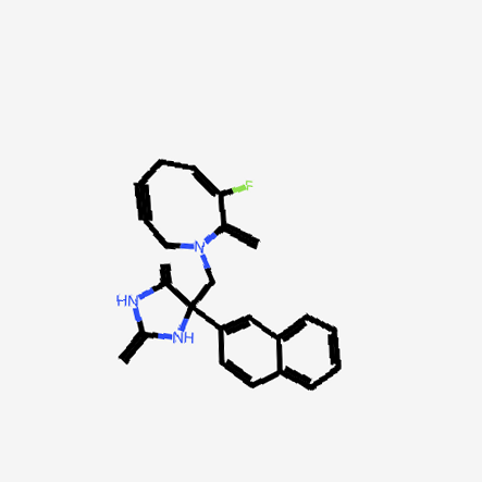 C=C1NC(=C)C(CN2CC#CC/C=C(/F)C2=C)(c2ccc3ccccc3c2)N1